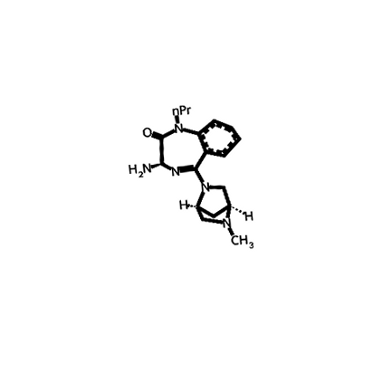 CCCN1C(=O)[C@H](N)N=C(N2C[C@@H]3C[C@H]2CN3C)c2ccccc21